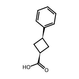 O=C(O)[C@H]1C[C@@H](c2ccccc2)C1